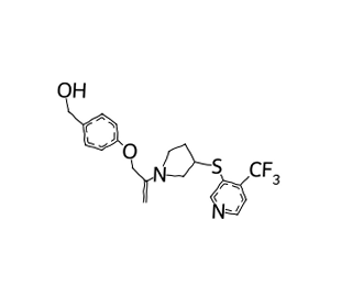 C=C(COc1ccc(CO)cc1)N1CCC(Sc2cnccc2C(F)(F)F)C1